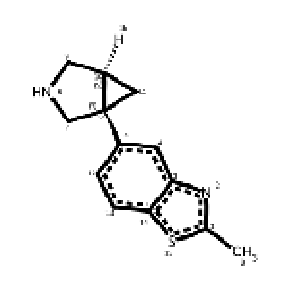 Cc1nc2cc([C@@]34CNC[C@H]3C4)ccc2s1